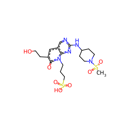 CS(=O)(=O)N1CCC(Nc2ncc3cc(CCO)c(=O)n(CCCS(=O)(=O)O)c3n2)CC1